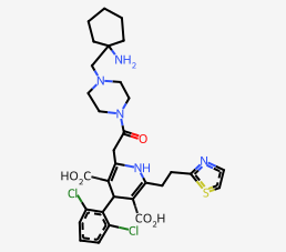 NC1(CN2CCN(C(=O)CC3=C(C(=O)O)C(c4c(Cl)cccc4Cl)C(C(=O)O)=C(CCc4nccs4)N3)CC2)CCCCC1